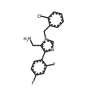 NCc1c(-c2ccc(F)cc2F)ncn1Cc1ccccc1Cl